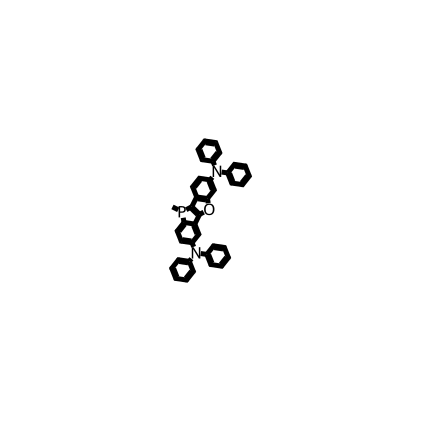 Cp1c2ccc(N(c3ccccc3)c3ccccc3)cc2c2oc3cc(N(c4ccccc4)c4ccccc4)ccc3c21